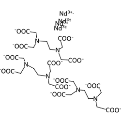 O=C([O-])CN(CCN(CC(=O)[O-])CC(=O)[O-])CC(=O)[O-].O=C([O-])CN(CCN(CC(=O)[O-])CC(=O)[O-])CC(=O)[O-].O=C([O-])CN(CCN(CC(=O)[O-])CC(=O)[O-])CC(=O)[O-].[Nd+3].[Nd+3].[Nd+3].[Nd+3]